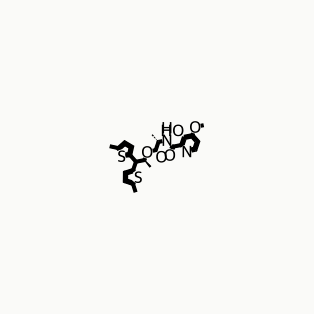 COc1ccnc(C(=O)N[C@@H](C)C(=O)O[C@@H](C)C(c2ccc(C)s2)c2ccc(C)s2)c1O